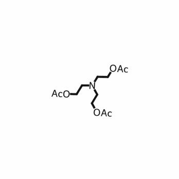 CC(=O)OCCN(CCOC(C)=O)CCOC(C)=O